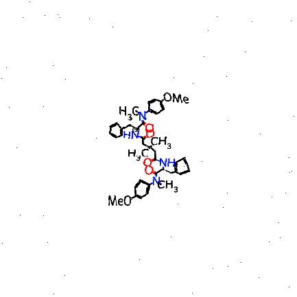 COc1ccc(N(C)C(=O)C(Cc2ccccc2)NC(=O)CC(C)(C)CC(=O)N[C@@H](Cc2ccccc2)C(=O)N(C)c2ccc(OC)cc2)cc1